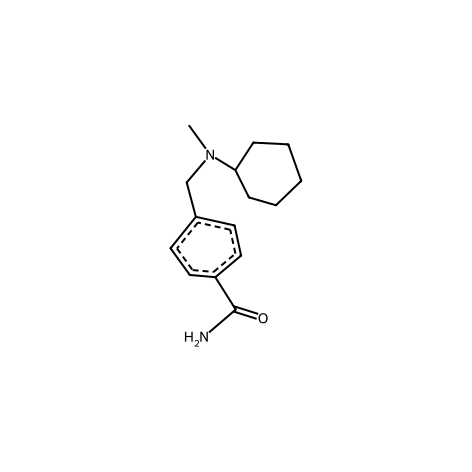 CN(Cc1ccc(C(N)=O)cc1)C1CCCCC1